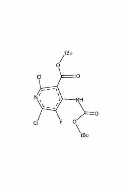 CC(C)(C)OC(=O)Nc1c(F)c(Cl)nc(Cl)c1C(=O)OC(C)(C)C